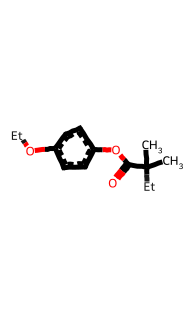 CCOc1ccc(OC(=O)C(C)(C)CC)cc1